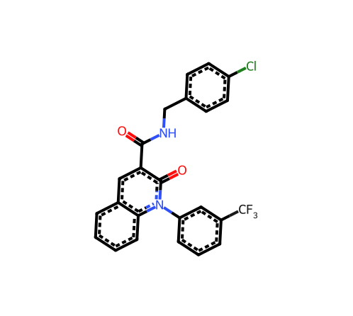 O=C(NCc1ccc(Cl)cc1)c1cc2ccccc2n(-c2cccc(C(F)(F)F)c2)c1=O